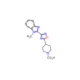 Cn1c(-c2noc(C3CCN(C(=O)O)CC3)n2)nc2ccccc21